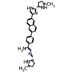 C[C@H]1CC[C@@H](/C=N/C=C(\N)c2ccc(-c3ccc4cc(-c5c[nH]c([C@@H]6CC[C@H](C)N6)n5)ccc4c3)cc2)N1